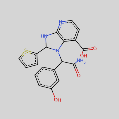 NC(=O)C(c1cccc(O)c1)N1c2c(C(=O)O)ccnc2NC1c1cccs1